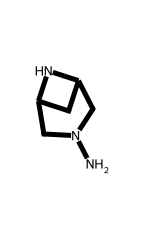 NN1CC2CC(C1)N2